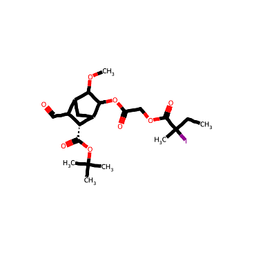 CCC(C)(I)C(=O)OCC(=O)OC1C(OC)C2CC1[C@H](C(=O)OC(C)(C)C)C2C=O